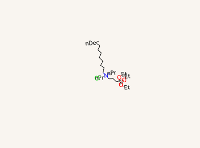 CCCCCCCCCCCCCCCCCC[N+](CCC)(CCC)CCC[Si](OCC)(OCC)OCC.[Cl-]